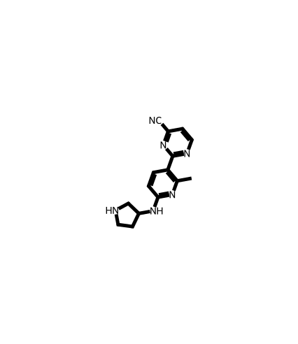 Cc1nc(NC2CCNC2)ccc1-c1nccc(C#N)n1